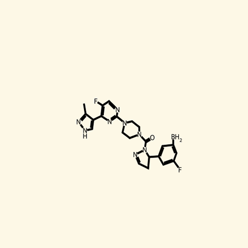 Bc1cc(F)cc(C2CC=NN2C(=O)N2CCN(c3ncc(F)c(-c4c[nH]nc4C)n3)CC2)c1